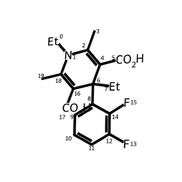 CCN1C(C)=C(C(=O)O)C(CC)(c2cccc(F)c2F)C(C(=O)O)=C1C